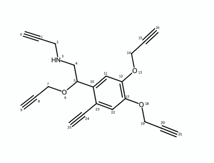 C#CCNCC(OCC#C)c1cc(OCC#C)c(OCC#C)cc1C#C